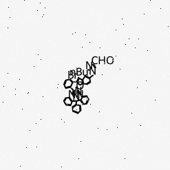 CCCCc1nc(C=O)cn1Cc1ccc2oc(-c3ccccc3-c3nnn(C(c4ccccc4)(c4ccccc4)c4ccccc4)n3)c(Br)c2c1